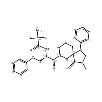 CN1CC(c2ccccc2)C2(CCCN(C(=O)[C@@H](CCc3ccccc3)NC(=O)C(C)(C)N)C2)C1=O